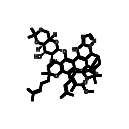 COC(=O)/C(C)=C\CC12OC(C)(C)C3CC(C1=O)C1C4=C(Nc5ncnn51)c1c(O[C@H]5O[C@H]6COC(C)(C)O[C@@H]6[C@@H](O)[C@@H]5O)c5c(c(CC=C(C)C)c1OC432)OC(C)(CCC=C(C)C)C=C5